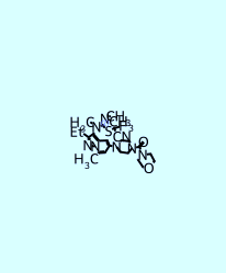 CCc1nn2c(C)cc(N3CCN(C(=O)N4CCOCC4)CC3)cc2c1N(C)/C(=N/C)SC(C)(F)C#N